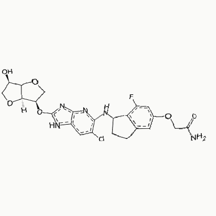 NC(=O)COc1cc(F)c2c(c1)CCC2Nc1nc2nc(O[C@@H]3COC4[C@H](O)CO[C@@H]43)[nH]c2cc1Cl